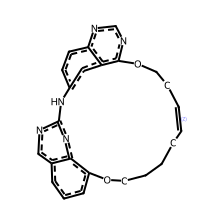 C1=C\CCOc2ncnc3ccc(cc23)Nc2ncc3cccc(c3n2)OCCCC/1